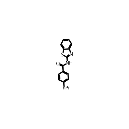 CCCc1ccc(C(=O)Nc2nc3ccccc3s2)cc1